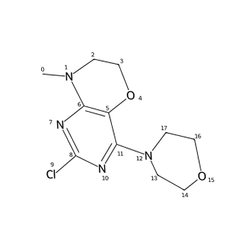 CN1CCOc2c1nc(Cl)nc2N1CCOCC1